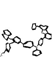 Cc1ccc(-c2cc(-c3ccc(N(c4ccccc4)c4ccc(-c5cccc6c5sc5c(-c7ccccc7)cccc56)cc4)cc3)ccc2-c2cccc3ccccc23)cc1